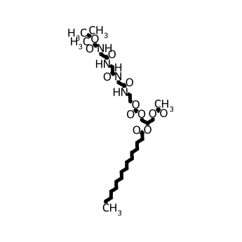 CCCCCCCCCCCCCCCC(=O)OC(COC(C)=O)COC(=O)OCCNC(=O)CNC(=O)CNC(=O)CNC(=O)OC(C)(C)C